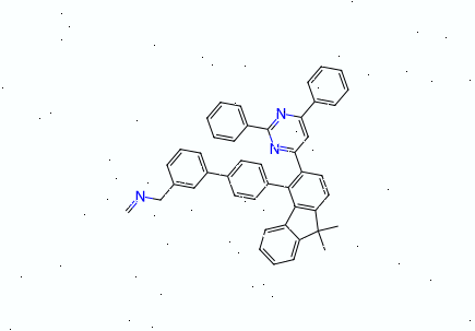 C=NCc1cccc(-c2ccc(-c3c(-c4cc(-c5ccccc5)nc(-c5ccccc5)n4)ccc4c3-c3ccccc3C4(C)C)cc2)c1